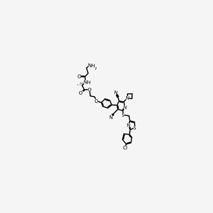 C[C@H](NC(=O)CCN)C(=O)OCCOc1ccc(-c2c(C#N)c(SCc3csc(-c4ccc(Cl)cc4)n3)nc(N3CCC3)c2C#N)cc1